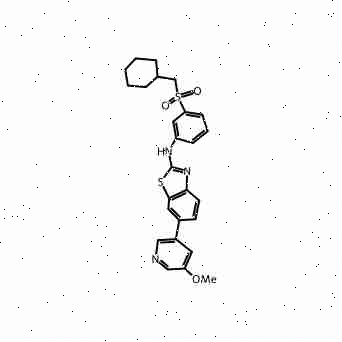 COc1cncc(-c2ccc3nc(Nc4cccc(S(=O)(=O)CC5CCCCC5)c4)sc3c2)c1